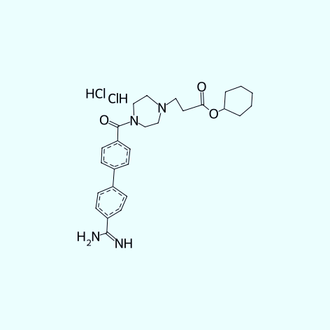 Cl.Cl.N=C(N)c1ccc(-c2ccc(C(=O)N3CCN(CCC(=O)OC4CCCCC4)CC3)cc2)cc1